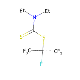 CCN(CC)C(=S)SC(F)(C(F)(F)F)C(F)(F)F